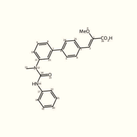 CO/C(=C\c1ccc(-c2cccc(N(C)C(=O)Nc3ccccc3)c2)cc1)C(=O)O